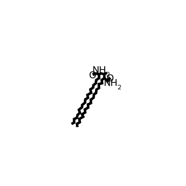 CCCCCCCCCCCCCCCCCCCCC(CC(C)C(CCCCCCCCCCCCCCCCCCCC)C(N)=O)C(N)=O